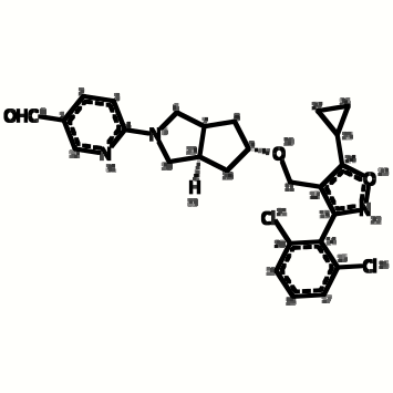 O=Cc1ccc(N2CC3C[C@H](OCc4c(-c5c(Cl)cccc5Cl)noc4C4CC4)C[C@H]3C2)nc1